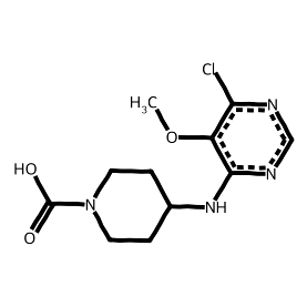 COc1c(Cl)ncnc1NC1CCN(C(=O)O)CC1